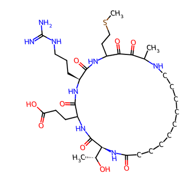 CSCCC1NC(=O)[C@H](CCCNC(=N)N)NC(=O)C(CCC(=O)O)NC(=O)[C@H]([C@@H](C)O)NC(=O)CCCCCCCCCNC(C)C(=O)C1=O